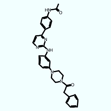 CC(=O)Nc1ccc(-c2ccnc(Nc3cccc(N4CCN(C(=O)Cc5ccccc5)CC4)c3)n2)cc1